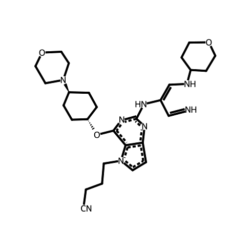 N#CCCCn1ccc2nc(N/C(C=N)=C/NC3CCOCC3)nc(O[C@H]3CC[C@H](N4CCOCC4)CC3)c21